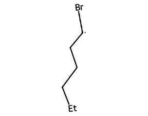 [CH2]CCCC[CH]Br